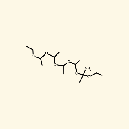 CCOC(C)OC(C)OC(C)OC(C)OC(C)(N)OCC